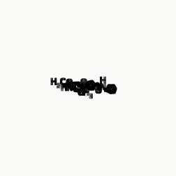 C=CC(=O)NC1CCN(S(=O)(=O)c2ccc(CC(=O)NCc3ccccc3)cc2)C(C)C1